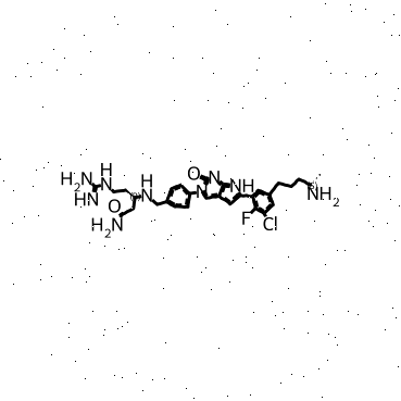 C[C@H](N)CCCc1cc(Cl)c(F)c(-c2cc3cn(-c4ccc(CN[C@H](CCNC(=N)N)CC(N)=O)cc4)c(=O)nc3[nH]2)c1